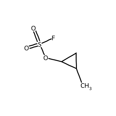 CC1CC1OS(=O)(=O)F